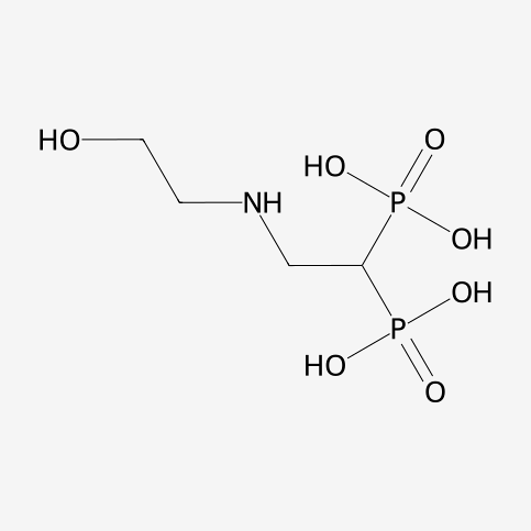 O=P(O)(O)C(CNCCO)P(=O)(O)O